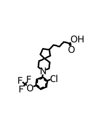 O=C(O)CCCC1CCC2(CCN(c3cc(OC(F)(F)F)ccc3Cl)CC2)C1